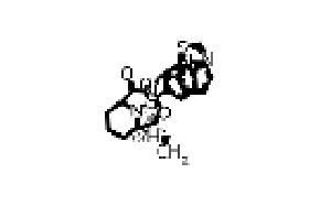 C=C[C@H]1CN(Cc2ccccn2)C(=O)C2CCC[C@@H]1N2S(=O)(=O)c1ccc2ncsc2c1